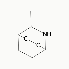 CC1NC2CCC1CC2